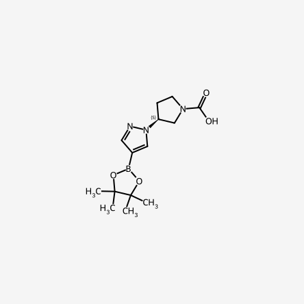 CC1(C)OB(c2cnn([C@H]3CCN(C(=O)O)C3)c2)OC1(C)C